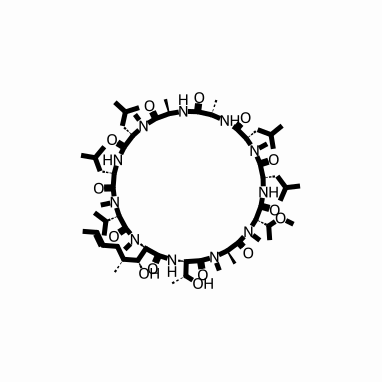 CC=CC[C@@H](C)[C@@H](O)[C@H]1C(=O)N[C@@H]([C@@H](C)O)C(=O)N(C)[C@H](C)C(=O)N(C)[C@@H](C(C)OC)C(=O)N[C@@H](CC(C)C)C(=O)N(C)[C@@H](CC(C)C)C(=O)N[C@@H](C)C(=O)N[C@H](C)C(=O)N(C)[C@@H](CC(C)C)C(=O)N[C@@H](CC(C)C)C(=O)N(C)[C@@H](C(C)C)C(=O)N1C